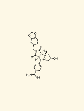 N=C(N)c1ccc([C@H]2[C@H]3C(=O)N(Cc4ccc5c(c4)OCO5)C(=O)[C@H]3[C@@H]3C[C@@H](O)CN32)cc1